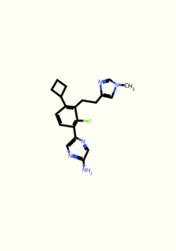 Cn1cnc(CCc2c(C3CCC3)ccc(-c3cnc(N)cn3)c2F)c1